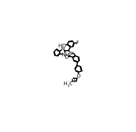 CN1CC(Oc2ccc(-c3ccc4c(c3)C(=O)N(C(c3nc5ccccc5[nH]3)c3cc(F)ccc3O)C4)cc2)C1